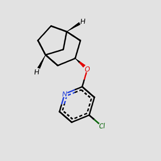 Clc1ccnc(O[C@H]2C[C@@H]3CC[C@@H](C3)C2)c1